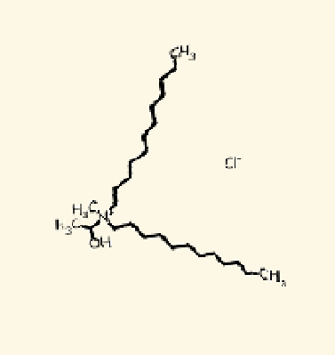 CCCCCCCCCCCC[N+](C)(CCCCCCCCCCCC)C(C)O.[Cl-]